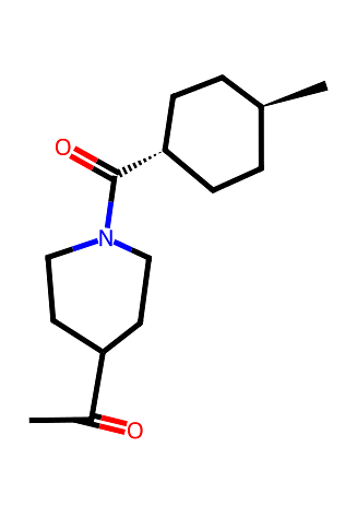 CC(=O)C1CCN(C(=O)[C@H]2CC[C@H](C)CC2)CC1